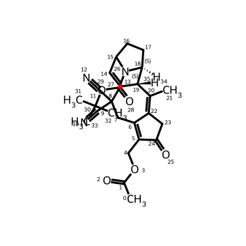 CC(=O)OCC1=C2CC(C#N)(C#N)C3=CC4CC[C@@H]([C@@H]3C(C)=C2CC1=O)N4C(=O)OC(C)(C)C